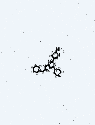 Nc1ncc(-c2nc(N3CCOCC3)c3sc(CN4CCCCC4)cc3n2)cn1